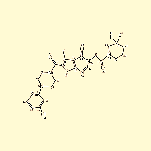 Cc1c(C(=O)N2CCN(c3cccc(Cl)c3)CC2)sc2ncn(CC(=O)N3CCCC(F)(F)C3)c(=O)c12